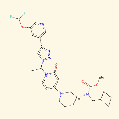 CC(n1cc(-c2cncc(OC(F)F)c2)nn1)n1ccc(N2CCC[C@@H](N(CC3CCC3)C(=O)OC(C)(C)C)C2)cc1=O